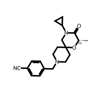 C[C@@H]1OC2(CCN(Cc3ccc(C#N)cc3)CC2)CN(C2CC2)C1=O